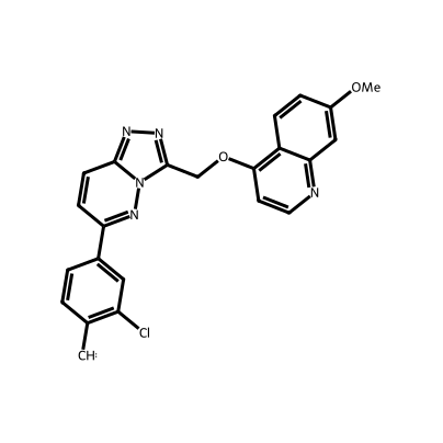 [CH]c1ccc(-c2ccc3nnc(COc4ccnc5cc(OC)ccc45)n3n2)cc1Cl